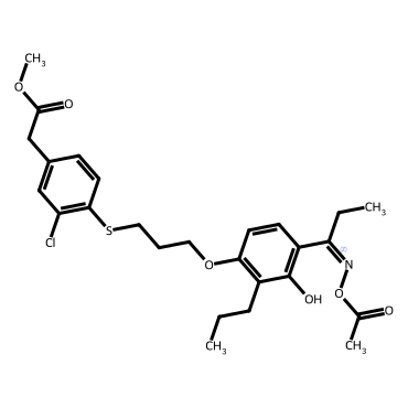 CCCc1c(OCCCSc2ccc(CC(=O)OC)cc2Cl)ccc(/C(CC)=N\OC(C)=O)c1O